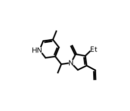 C=CC1=C(CC)C(=C)N(C(C)C2=CC(C)=CNC2)C1